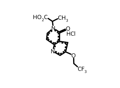 CC(C(=O)O)n1ccc2ncc(OCC(F)(F)F)cc2c1=O.Cl